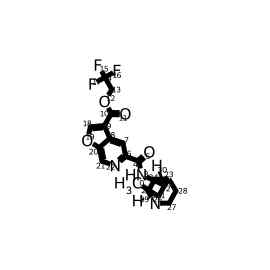 C[C@H]1[C@H](NC(=O)c2cc3c(C(=O)OCC(F)(F)F)coc3cn2)C2CCN1CC2